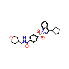 O=C(NCC1CCOCC1)c1ccc(S(=O)(=O)n2cc(C3CCCC3)c3ccccc32)cc1